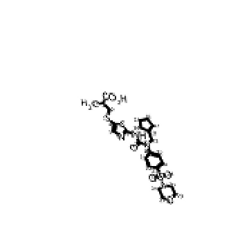 CC(CSc1cnc(NC(=O)N(CC2CCCC2)c2ccc(S(=O)(=O)N3CCOCC3)cc2)s1)C(=O)O